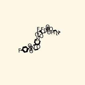 CN(C)CCOP(=O)(O)OC[C@@H](OC(=O)N1CCC2(CC1)CN(S(=O)(=O)c1ccc(F)cc1)CCO2)C(F)(F)F